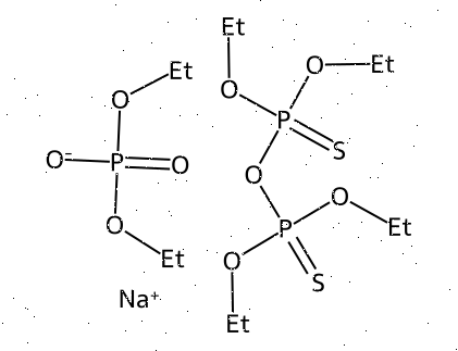 CCOP(=O)([O-])OCC.CCOP(=S)(OCC)OP(=S)(OCC)OCC.[Na+]